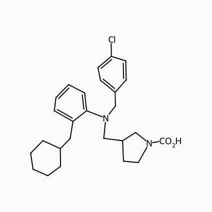 O=C(O)N1CCC(CN(Cc2ccc(Cl)cc2)c2ccccc2CC2CCCCC2)C1